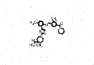 Cc1ccc(OCc2ccc(C(=O)N3CCCCC3)cc2C)c(-c2csc(N3CCCC(C)(C(=O)O)CC3)n2)c1